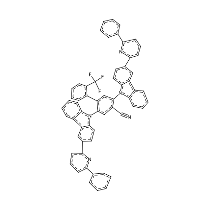 N#Cc1cc(-n2c3ccccc3c3cc(-c4cccc(-c5ccccc5)n4)ccc32)c(-c2ccccc2C(F)(F)F)cc1-n1c2ccccc2c2cc(-c3cccc(-c4ccccc4)n3)ccc21